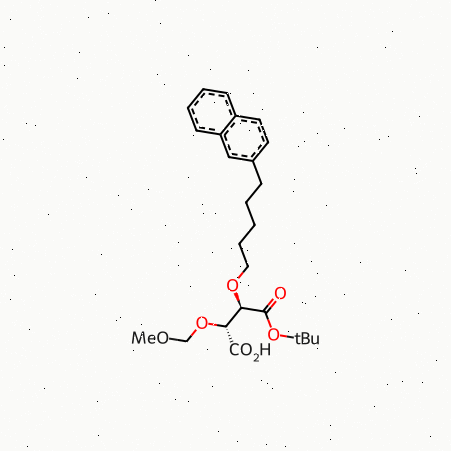 COCO[C@@H](C(=O)O)[C@@H](OCCCCCc1ccc2ccccc2c1)C(=O)OC(C)(C)C